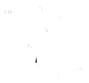 Cc1c([C@@H](C)Nc2nc(Cl)nc3c2CNC3)cccc1C(F)(F)F